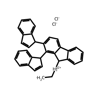 [CH2][CH2][Hf+2][CH]1c2ccccc2-c2ccc(C3C=Cc4ccccc43)c(C3C=Cc4ccccc43)c21.[Cl-].[Cl-]